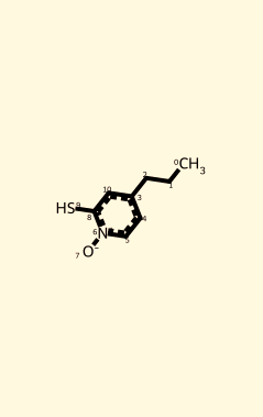 CCCc1cc[n+]([O-])c(S)c1